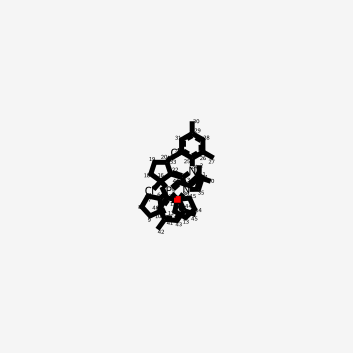 CC(C)=CC=P(C1CCCC1)(C1CCCC1)C1(Cl)CCC(Cl)C1=C1N(c2c(C)cc(C)cc2C)C=CN1c1c(C)cc(C)cc1C